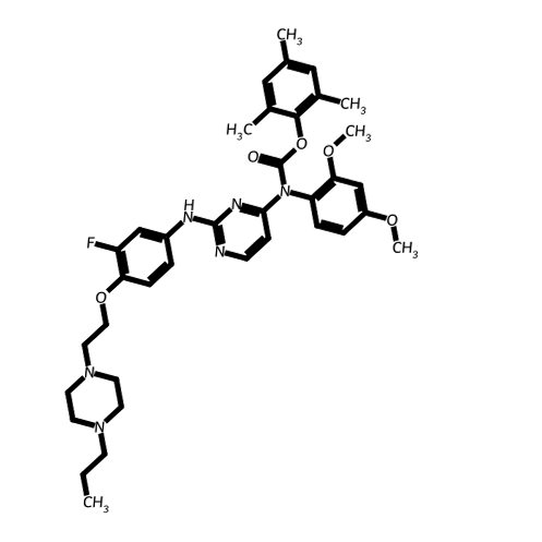 CCCN1CCN(CCOc2ccc(Nc3nccc(N(C(=O)Oc4c(C)cc(C)cc4C)c4ccc(OC)cc4OC)n3)cc2F)CC1